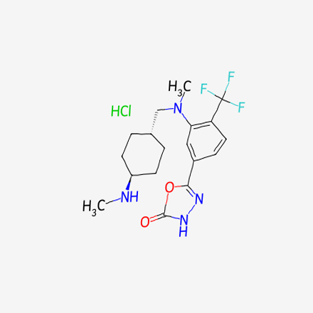 CN[C@H]1CC[C@H](CN(C)c2cc(-c3n[nH]c(=O)o3)ccc2C(F)(F)F)CC1.Cl